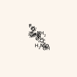 NC(=NC(=O)c1ccc(C[C@H](N)C(=O)O)cc1)NCc1ccccc1-c1cccc(F)c1